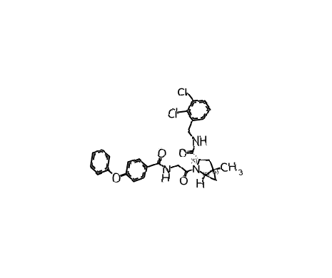 C[C@@]12C[C@@H]1N(C(=O)CNC(=O)c1ccc(Oc3ccccc3)cc1)[C@H](C(=O)NCc1cccc(Cl)c1Cl)C2